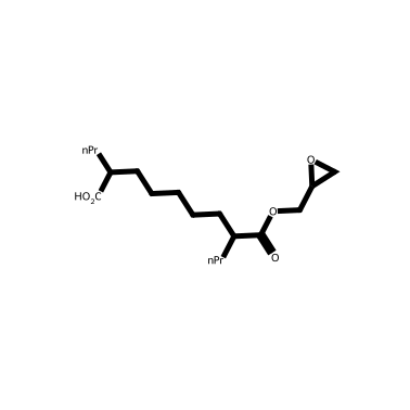 CCCC(CCCCCC(CCC)C(=O)OCC1CO1)C(=O)O